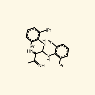 CC(=N)C(=N)C(Nc1c(C(C)C)cccc1C(C)C)Nc1c(C(C)C)cccc1C(C)C